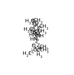 C=CCOC(=O)C(CCCNC(=N)NS(=O)(=O)c1c(C)c(C)c2c(c1C)CC(C)(C)O2)C(C)(C)C